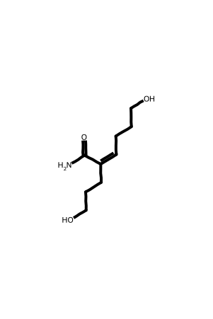 NC(=O)C(=CCCCO)CCCO